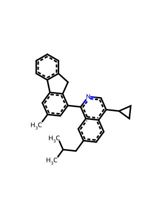 Cc1cc2c(c(-c3ncc(C4CC4)c4ccc(CC(C)C)cc34)c1)Cc1ccccc1-2